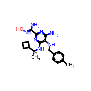 Cc1ccc(CNc2c(N)nc(/C(N)=N/O)nc2N[C@H](C)C2CCC2)cc1